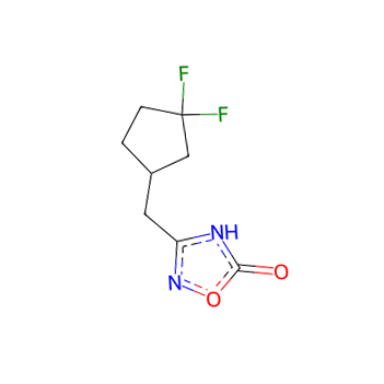 O=c1[nH]c(CC2CCC(F)(F)C2)no1